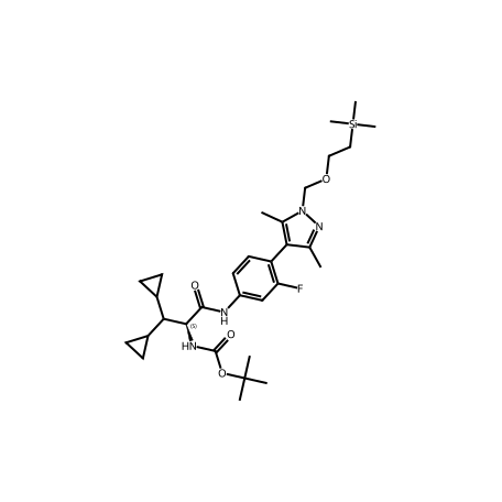 Cc1nn(COCC[Si](C)(C)C)c(C)c1-c1ccc(NC(=O)[C@@H](NC(=O)OC(C)(C)C)C(C2CC2)C2CC2)cc1F